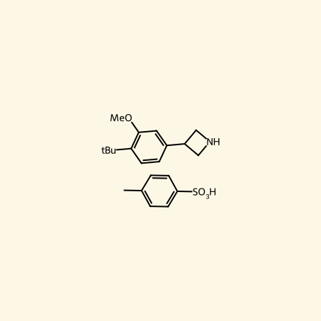 COc1cc(C2CNC2)ccc1C(C)(C)C.Cc1ccc(S(=O)(=O)O)cc1